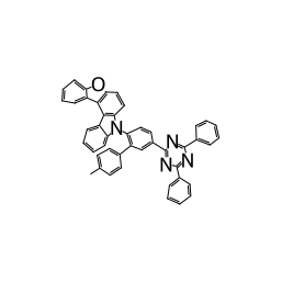 Cc1ccc(-c2cc(-c3nc(-c4ccccc4)nc(-c4ccccc4)n3)ccc2-n2c3ccccc3c3c4c(ccc32)oc2ccccc24)cc1